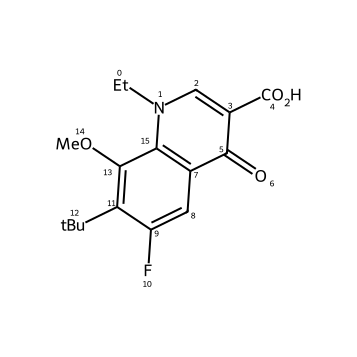 CCn1cc(C(=O)O)c(=O)c2cc(F)c(C(C)(C)C)c(OC)c21